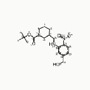 CC(C)(C)OC(=O)N1CCCC(CNc2cc(CO)ccc2[N+](=O)[O-])C1